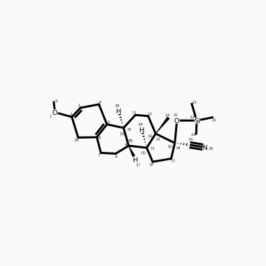 COC1=CCC2=C(CC[C@@H]3[C@@H]2CC[C@@]2(C)[C@H]3CC[C@]2(C#N)O[Si](C)(C)C)C1